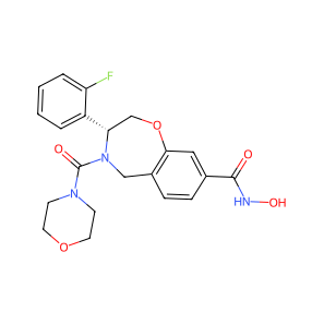 O=C(NO)c1ccc2c(c1)OC[C@@H](c1ccccc1F)N(C(=O)N1CCOCC1)C2